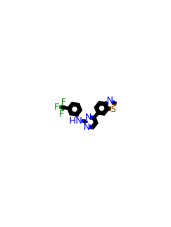 FC(F)(F)c1cccc(Nc2nccc(-c3ccc4ncsc4c3)n2)c1